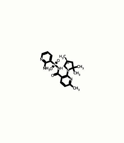 Cc1ccc(C(=O)NS(=O)(=O)c2cccnc2N)c(N2C[C@@H](C)CC2(C)C)n1